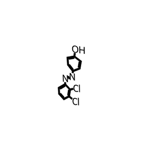 Oc1ccc(N=Nc2cccc(Cl)c2Cl)cc1